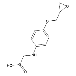 O=S(O)CNc1ccc(OCC2CO2)cc1